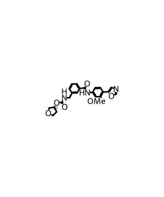 COc1cc(NC(=O)c2cccc(CNC(=O)O[C@H]3CCOC3)c2)ccc1-c1cnco1